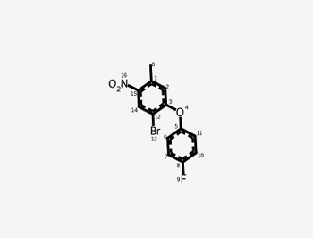 Cc1cc(Oc2ccc(F)cc2)c(Br)cc1[N+](=O)[O-]